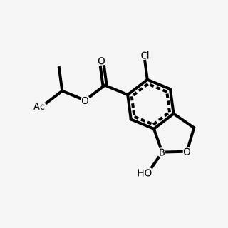 CC(=O)C(C)OC(=O)c1cc2c(cc1Cl)COB2O